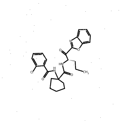 CCC[C@H](NC(=O)C1(NC(=O)c2ccccc2Cl)CCCCC1)C(=O)c1nc2ccccc2o1